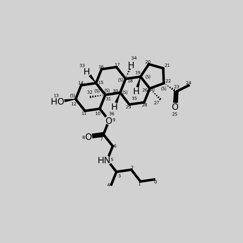 CCCC(C)NCC(=O)OC1C[C@@H](O)C[C@@H]2CC[C@H]3[C@@H]4CC[C@H](C(C)=O)[C@@]4(C)CC[C@@H]3[C@@]12C